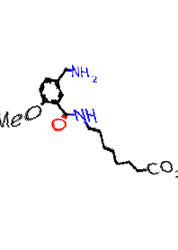 COc1ccc(CN)cc1C(=O)NCCCCCCCC(=O)O